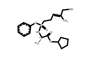 C/C(=C\CCP(=O)(N[C@@H](C)C(=O)OC1CCCC1)Oc1ccccc1)CO